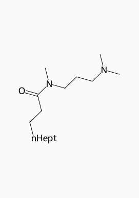 CCCCCCCCCC(=O)N(C)CCCN(C)C